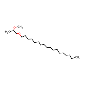 [CH2][C@H](COCCCCCCCCCCCCCCCCCC)OC